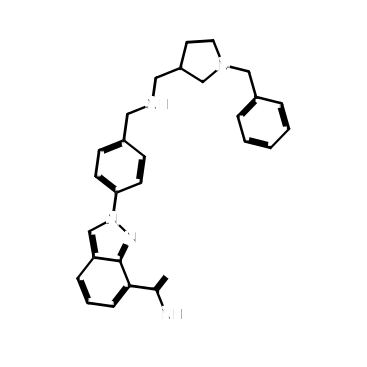 NC(=O)c1cccc2cn(-c3ccc(CNCC4CCN(Cc5ccccc5)C4)cc3)nc12